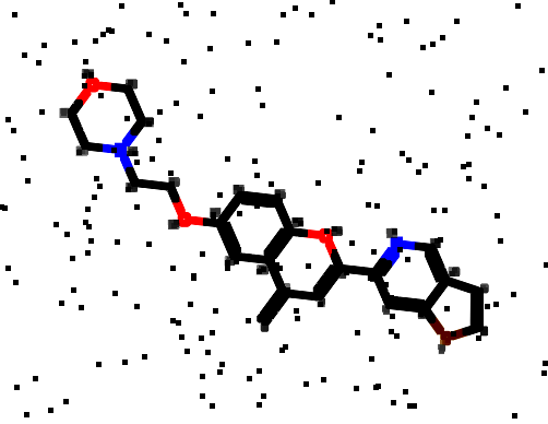 C=C1C=C(c2cc3sccc3cn2)Oc2ccc(OCCN3CCOCC3)cc21